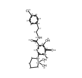 Cn1c(N2CCCCS2(O)O)nc(C(=O)NCCc2ccc(Cl)cc2)c(O)c1=O